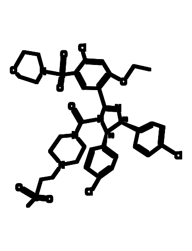 CCOc1cc(Cl)c(S(=O)(=O)N2CCOCC2)cc1C1=N[C@@H](c2ccc(Cl)cc2)[C@@H](c2ccc(Cl)cc2)N1C(=O)N1CCN(CCS(C)(=O)=O)CC1